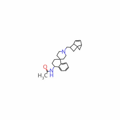 CC(=O)N[C@H]1CCC2(CCN(CC3CC45CC4C=CC35)CC2)c2ccccc21